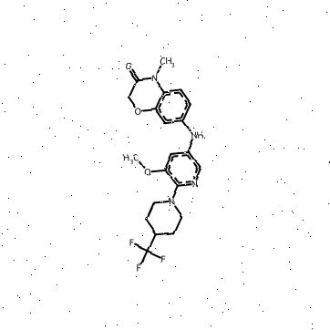 COc1cc(Nc2ccc3c(c2)OCC(=O)N3C)cnc1N1CCC(C(F)(F)F)CC1